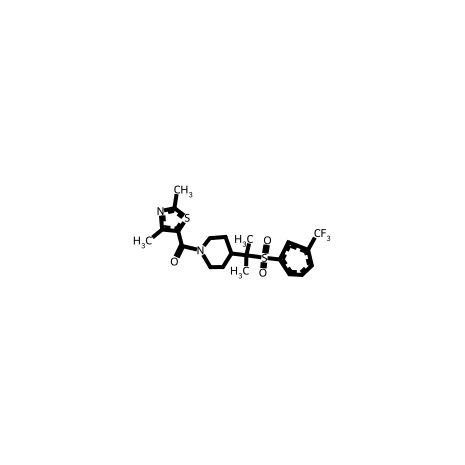 Cc1nc(C)c(C(=O)N2CCC(C(C)(C)S(=O)(=O)c3cccc(C(F)(F)F)c3)CC2)s1